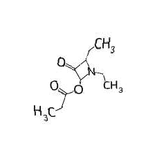 CCC(=O)OC1C(=O)C(CC)N1CC